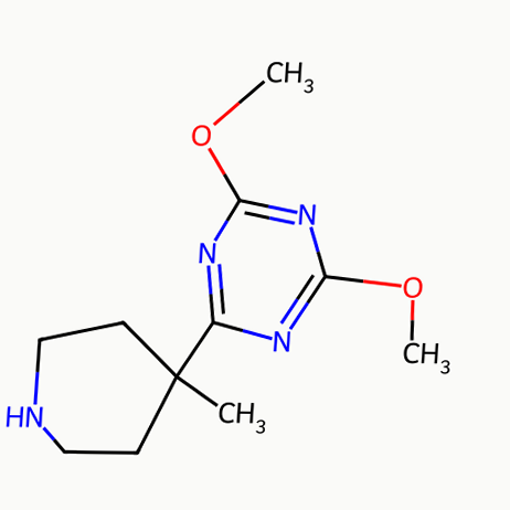 COc1nc(OC)nc(C2(C)CCNCC2)n1